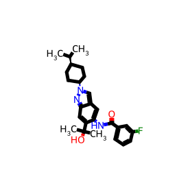 CC(C)[C@H]1CC[C@H](n2cc3cc(NC(=O)c4cccc(F)c4)c(C(C)(C)O)cc3n2)CC1